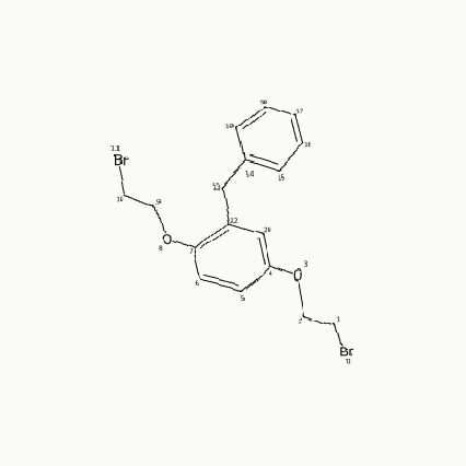 BrCCOc1ccc(OCCBr)c(Cc2ccccc2)c1